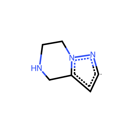 [c]1cc2n(n1)CCNC2